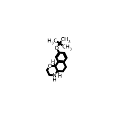 CC(C)(C)Oc1ccc2c(c1)[C@H]1OCCN[C@@H]1CC2